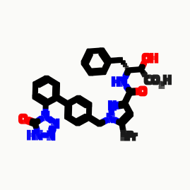 CCCc1cc(C(=O)N[C@H](Cc2ccccc2)[C@@H](O)C(=O)O)nn1Cc1ccc(-c2ccccc2-n2nn[nH]c2=O)cc1